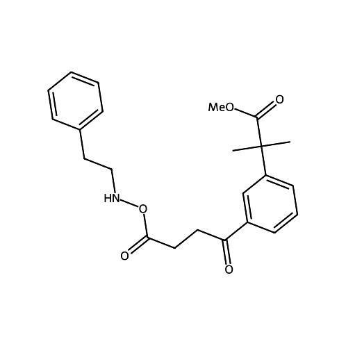 COC(=O)C(C)(C)c1cccc(C(=O)CCC(=O)ONCCc2ccccc2)c1